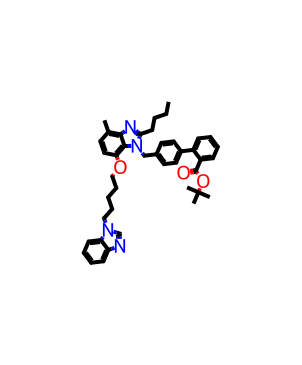 CCCCc1nc2c(C)ccc(OCCCCCn3cnc4ccccc43)c2n1Cc1ccc(-c2ccccc2C(=O)OC(C)(C)C)cc1